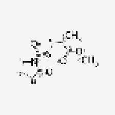 COC(=O)C(C)CSC(=O)N1CCCC1=O